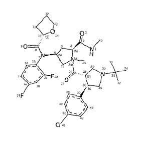 CNC(=O)[C@@H]1C[C@H](N(C(=O)[C@@H]2CCCO2)c2ccc(F)cc2F)C[N+]1(C)C(=O)[C@@H]1CN(C(C)(C)C)C[C@H]1c1ccc(Cl)cc1